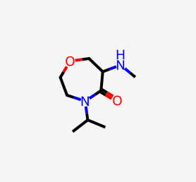 CNC1COCCN(C(C)C)C1=O